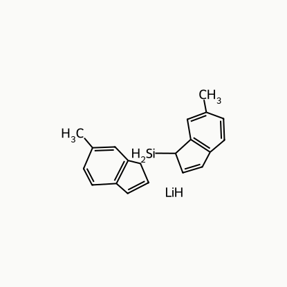 Cc1ccc2c(c1)C([SiH2]C1C=Cc3ccc(C)cc31)C=C2.[LiH]